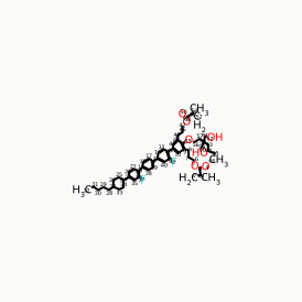 C=C(C)C(=O)OCCCc1cc(-c2ccc(-c3ccc(-c4ccc(C5CCC(CCCCC)CC5)cc4F)cc3)cc2F)cc(CCCOC(=O)C(=C)C)c1OCCC(CO)(CO)CCCC